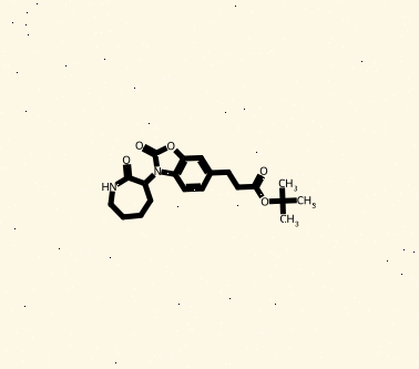 CC(C)(C)OC(=O)CCc1ccc2c(c1)oc(=O)n2C1CCCCNC1=O